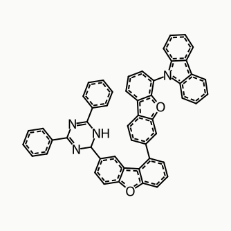 c1ccc(C2=NC(c3ccc4oc5cccc(-c6ccc7c(c6)oc6c(-n8c9ccccc9c9ccccc98)cccc67)c5c4c3)NC(c3ccccc3)=N2)cc1